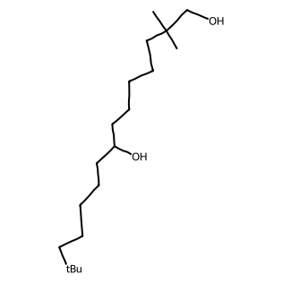 CC(C)(C)CCCCCC(O)CCCCCC(C)(C)CO